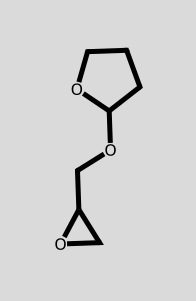 C1COC(OCC2CO2)C1